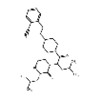 CC(C)CC(C(=O)N1CCC(COc2ccccc2C#N)CC1)N1CCN[C@@H](CC(C)C)C1=O